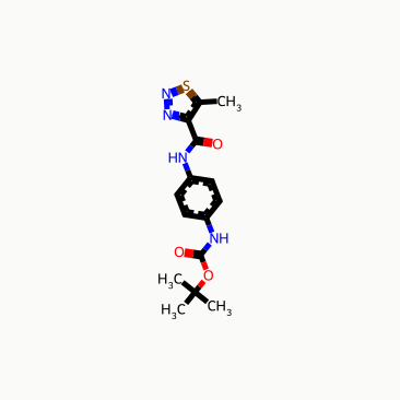 Cc1snnc1C(=O)Nc1ccc(NC(=O)OC(C)(C)C)cc1